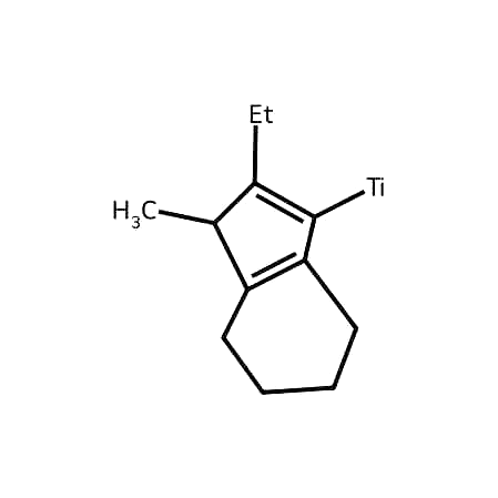 CCC1=[C]([Ti])C2=C(CCCC2)C1C